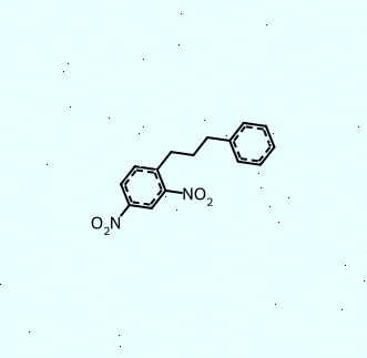 O=[N+]([O-])c1ccc(CCCc2ccccc2)c([N+](=O)[O-])c1